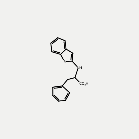 O=C(O)C(Cc1ccccc1)Nc1cc2ccccc2s1